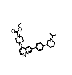 CCOC(=O)N1CCN(c2ccnn3cc(-c4ccc([C@@H]5CCCN(C(C)C)C5)cc4)cc23)CC1